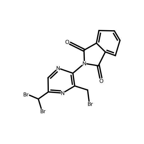 O=C1c2ccccc2C(=O)N1c1ncc(C(Br)Br)nc1CBr